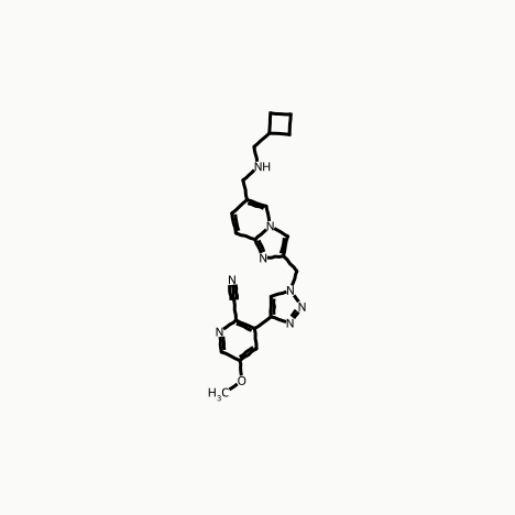 COc1cnc(C#N)c(-c2cn(Cc3cn4cc(CNCC5CCC5)ccc4n3)nn2)c1